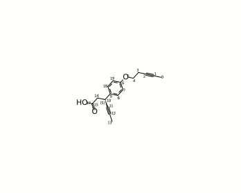 CC#CCCOc1ccc([C@@H](C#CC)CC(=O)O)cc1